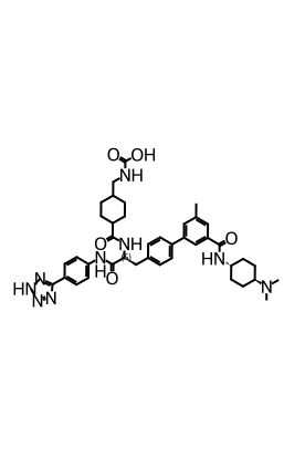 Cc1cc(C(=O)N[C@H]2CC[C@H](N(C)C)CC2)cc(-c2ccc(C[C@H](NC(=O)C3CCC(CNC(=O)O)CC3)C(=O)Nc3ccc(-c4nn[nH]n4)cc3)cc2)c1